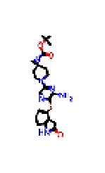 CC(C)(C)OC(=O)N1CC12CCN(c1cnc(Sc3cccc4c3CC(=O)N4)c(N)n1)CC2